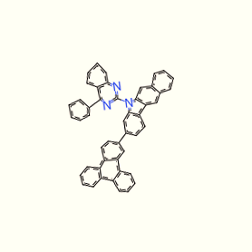 c1ccc(-c2nc(-n3c4cc(-c5ccc6c7ccccc7c7ccccc7c6c5)ccc4c4cc5ccccc5cc43)nc3ccccc23)cc1